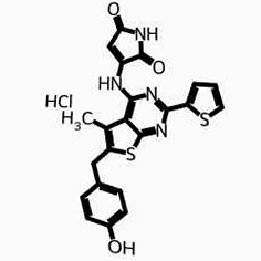 Cc1c(Cc2ccc(O)cc2)sc2nc(-c3cccs3)nc(NC3=CC(=O)NC3=O)c12.Cl